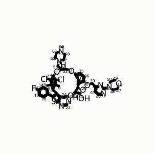 Cc1c(Cl)c2c(Cl)c(C)c1-c1c(-c3ccc(F)cc3)sc3ncnc(c13)O[C@@H](C(=O)O)Cc1cc(ccc1OCc1ccnc(N3CCOCC3)n1)OC[C@@H](CN1CCN(C)CC1)O2